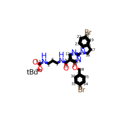 CC(C)(C)OC(=O)NCCCNC(=O)c1cnc(N2CCc3cc(Br)ccc32)nc1OCc1ccc(Br)cc1